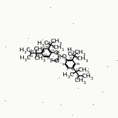 CC(C)C(C)(C)c1ccc(OP(OF)Oc2ccc(C(C)(C)C(C)C)cc2C(C)(C)C)c(C(C)(C)C)c1